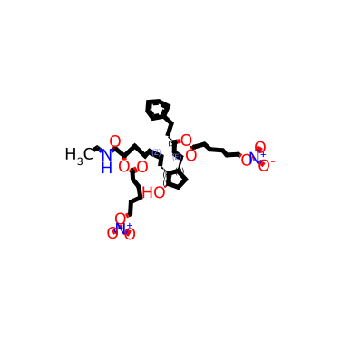 CCNC(=O)C(CC/C=C\C[C@H]1[C@@H](O)CC[C@@H]1/C=C/[C@H](CCc1ccccc1)OC(=O)CCCCCO[N+](=O)[O-])OC(=O)CCCCCO[N+](=O)[O-]